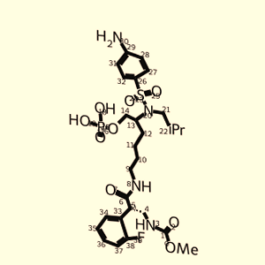 COC(=O)NC[C@@H](C(=O)NCCCCC(COP(=O)(O)O)N(CC(C)C)S(=O)(=O)c1ccc(N)cc1)c1ccccc1F